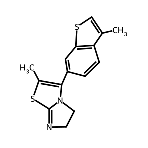 CC1=C(c2ccc3c(C)csc3c2)N2CCN=C2S1